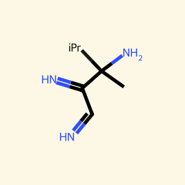 CC(C)C(C)(N)C(=N)C=N